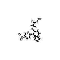 CCOC(=O)C(C)(C)Sc1ccc2cnsc2c1-c1ccc([N+](=O)[O-])cc1